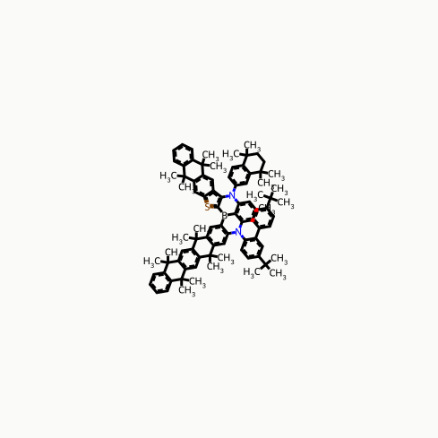 Cc1cc2c3c(c1)N(c1ccc4c(c1)C(C)(C)CCC4(C)C)c1c(sc4cc5c(cc14)C(C)(C)c1ccccc1C5(C)C)B3c1cc3c(cc1N2c1ccc(C(C)(C)C)cc1-c1ccc(C(C)(C)C)cc1)C(C)(C)c1cc2c(cc1C3(C)C)C(C)(C)c1ccccc1C2(C)C